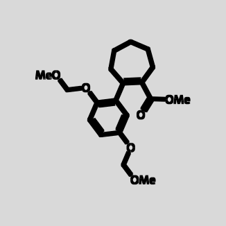 COCOc1ccc(OCOC)c(C2=C(C(=O)OC)CCCCC2)c1